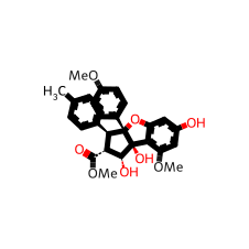 COC(=O)[C@H]1[C@@H](O)[C@@]2(O)c3c(OC)cc(O)cc3O[C@@]2(c2ccc(OC)cc2)[C@@H]1c1ccc(C)cc1